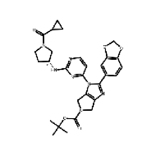 CC(C)(C)OC(=O)N1Cc2nc(-c3ccc4c(c3)OCO4)n(-c3ccnc(N[C@@H]4CCN(C(=O)C5CC5)C4)n3)c2C1